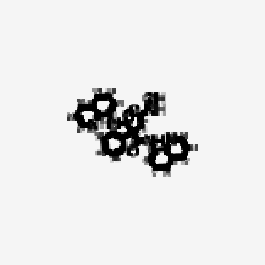 O=C(CC(C(=O)Nc1cccc2cccnc12)(C(=O)Nc1cccc2cccnc12)c1ccccc1)NO